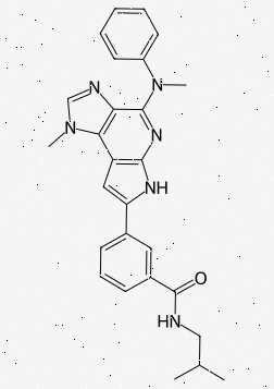 CC(C)CNC(=O)c1cccc(-c2cc3c(nc(N(C)c4ccccc4)c4ncn(C)c43)[nH]2)c1